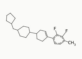 Cc1ccc(C2=CCC(C3CCC(CC4CCCC4)CC3)CC2)c(F)c1F